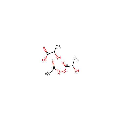 CC(=O)O.CC(O)C(=O)O.CC(O)C(=O)O